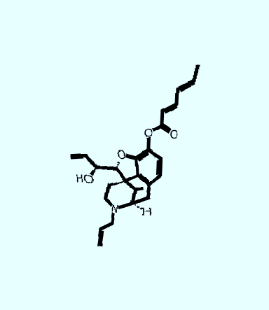 C=CCN1CC[C@]23c4c(ccc(OC(=O)/C=C/C=C/C)c4O[C@H]2[C@@H](O)C=C)C[C@@H]1C3C